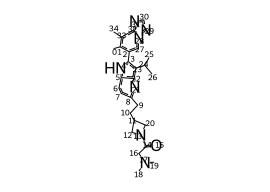 Cc1c(-c2[nH]c3ccc(CCC4CN(C(=O)CN(C)C)C4)nc3c2C(C)C)cn2ncnc2c1C